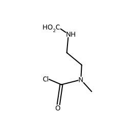 CN(CCNC(=O)O)C(=O)Cl